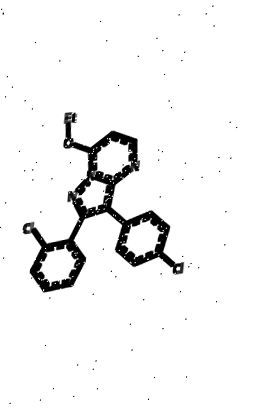 CCOc1ccnc2c(-c3ccc(Cl)cc3)c(-c3ccccc3Cl)nn12